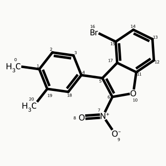 Cc1ccc(-c2c([N+](=O)[O-])oc3cccc(Br)c23)cc1C